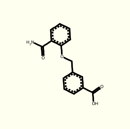 NC(=O)c1ccccc1OCc1cccc(C(=O)O)c1